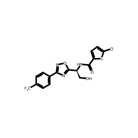 O=C(N[C@@H](CO)c1nc(-c2ccc(C(F)(F)F)cc2)no1)c1ccc(Cl)s1